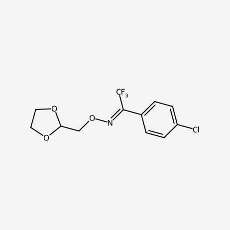 FC(F)(F)C(=NOCC1OCCO1)c1ccc(Cl)cc1